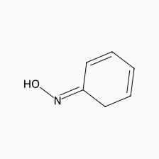 ON=C1C=CC=CC1